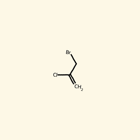 C=C(Cl)CBr